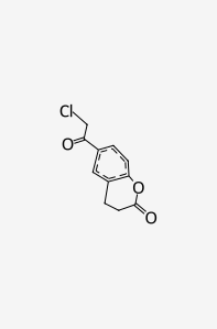 O=C1CCc2cc(C(=O)CCl)ccc2O1